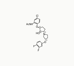 CC(=O)Nc1cc(Cl)ccc1O[C@H]1CC[C@H](N2CC[C@H](Oc3ccc(F)c(F)c3)C2)[C@H]1O